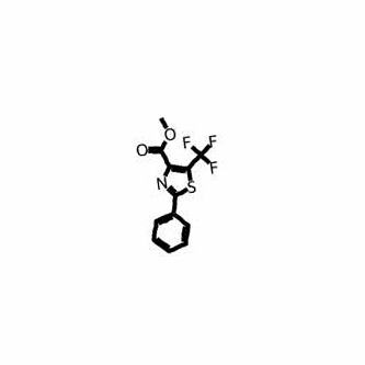 COC(=O)c1nc(-c2ccccc2)sc1C(F)(F)F